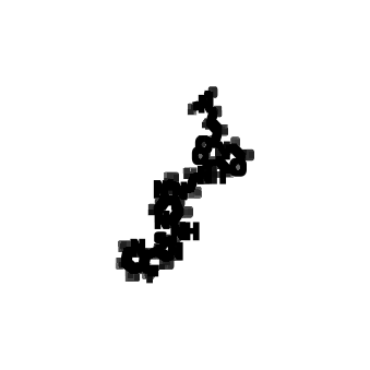 CN(C)C/C=C/C(=O)N1CCOC[C@H]1C(=O)NCCn1cnc2cnc(Nc3ncc(-c4ncccc4F)s3)cc21